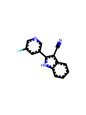 N#Cc1c(-c2cncc(F)c2)[nH]c2ccccc12